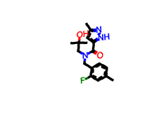 Cc1ccc(CN(CC(C)(C)O)C(=O)c2cc(C)n[nH]2)c(F)c1